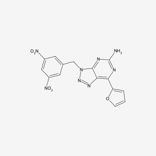 Nc1nc(-c2ccco2)c2nnn(Cc3cc([N+](=O)[O-])cc([N+](=O)[O-])c3)c2n1